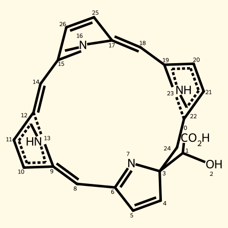 O=C(O)C(O)C12C=CC(=N1)C=c1ccc([nH]1)=CC1=NC(=Cc3ccc([nH]3)C2)C=C1